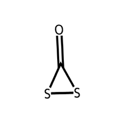 O=C1SS1